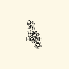 COc1c(CCN2CCOCC2)ccc(NC(=O)c2cccs2)c1O.Cl